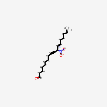 CCCCC/C=C/C(C#CCCCCCCC[C]=O)[N+](=O)[O-]